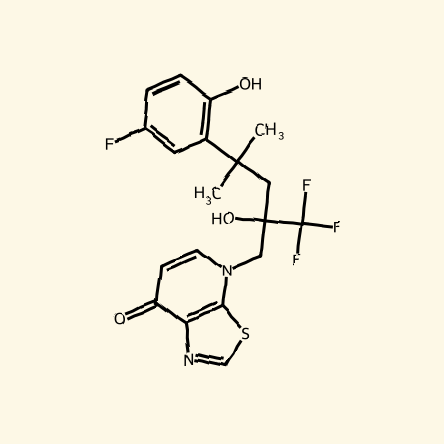 CC(C)(CC(O)(Cn1ccc(=O)c2ncsc21)C(F)(F)F)c1cc(F)ccc1O